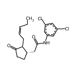 CC/C=C\CC1C(=O)CC[C@H]1CC(=O)Nc1cc(Cl)cc(Cl)c1